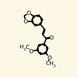 COc1cc(OC)cc(C(=O)C=Cc2ccc3c(c2)OCO3)c1